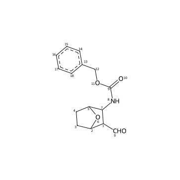 O=CC1C2CCC(O2)C1NC(=O)OCc1ccccc1